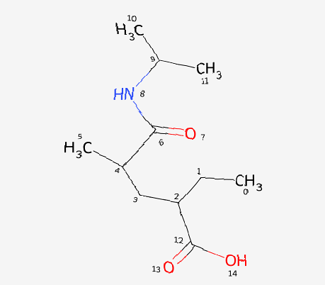 CCC(CC(C)C(=O)NC(C)C)C(=O)O